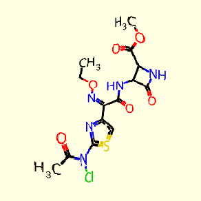 CCON=C(C(=O)NC1C(=O)NC1C(=O)OC)c1csc(N(Cl)C(C)=O)n1